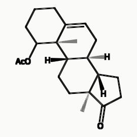 CC(=O)OC1CCCC2=CC[C@H]3[C@@H]4CCC(=O)[C@@]4(C)CC[C@@H]3[C@]21C